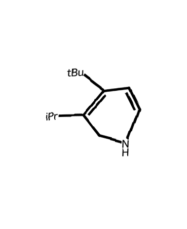 CC(C)C1=C(C(C)(C)C)C=CNC1